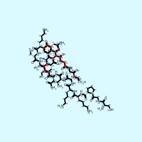 CC(C)C[C@H](NC(=O)[C@H](CC(N)=O)NC(=O)[C@@H](NC(=O)[C@H](CO)NC(=O)[C@H](CCCCN)NC(=O)[C@H](CCCCN)NC(=O)[C@@H]1CCCN1C(=O)CNC(=O)[C@@H](N)CS)[C@@H](C)O)C(=O)N[C@H](C(=O)N[C@@H](CCCCN)C(=O)N[C@@H](CC(N)=O)C(=O)N[C@@H](CCCCN)C(=O)N[C@@H](CS)C(=O)N[C@H](C(=O)N[C@@H](CC(N)=O)C(=O)N[C@@H](Cc1ccccc1)C(=O)NCC(=O)NCC(=O)NCC(=O)O)C(C)C)C(C)C